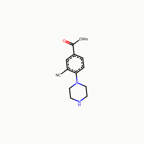 COC(=O)c1ccc(N2CCNCC2)c(C#N)c1